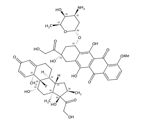 COc1cccc2c1C(=O)c1c(O)c3c(c(O)c1C2=O)C[C@@](O)(C(=O)CO)C[C@@H]3O[C@H]1C[C@H](N)[C@H](O)[C@H](C)O1.C[C@@H]1C[C@H]2[C@@H]3CCC4=CC(=O)C=C[C@]4(C)[C@@]3(F)[C@@H](O)C[C@]2(C)[C@@]1(O)C(=O)CO